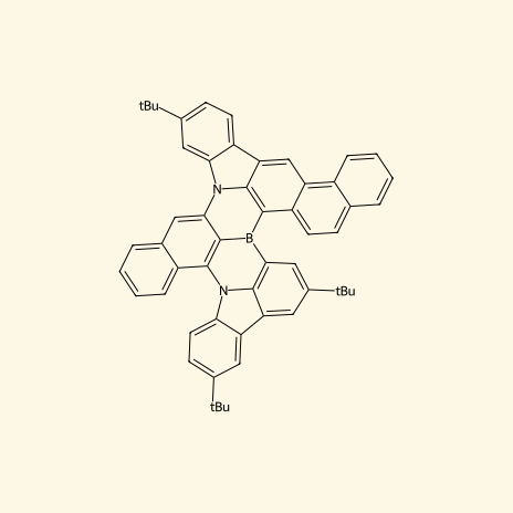 CC(C)(C)c1ccc2c(c1)c1cc(C(C)(C)C)cc3c1n2-c1c2c(cc4ccccc14)-n1c4cc(C(C)(C)C)ccc4c4cc5c(ccc6ccccc65)c(c41)B23